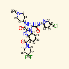 CC(C)N1CCC(NC(=O)c2nc3c(C(=O)N4CCC(F)(F)CC4)cccc3n2CC(=O)Nc2ccc(Cl)cn2)CC1